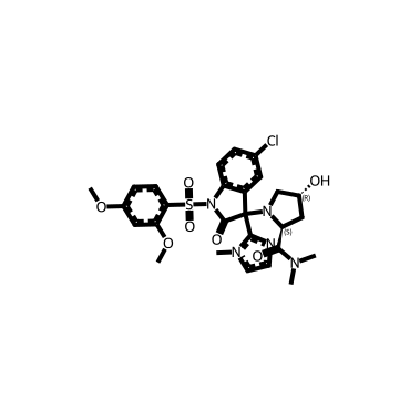 COc1ccc(S(=O)(=O)N2C(=O)C(c3nccn3C)(N3C[C@H](O)C[C@H]3C(=O)N(C)C)c3cc(Cl)ccc32)c(OC)c1